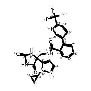 O=C1NC(=O)[C@@](CNC(=O)c2ccccc2-c2ccc(C(F)(F)F)nc2)(c2ccnn2C2CC2)N1